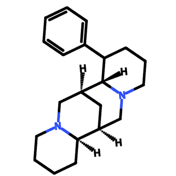 c1ccc(C2CCCN3C[C@@H]4C[C@@H](CN5CCCC[C@H]45)[C@H]23)cc1